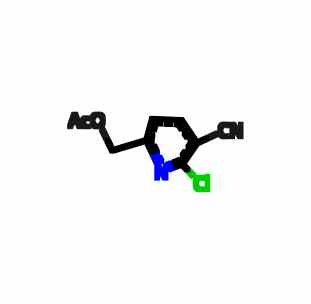 CC(=O)OCc1ccc(C#N)c(Cl)n1